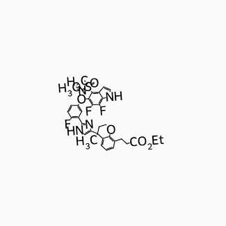 CCOC(=O)CCc1cccc2c1OCCC2(C)c1c[nH]c(-c2cc(Oc3c(F)c(F)c4[nH]ccc4c3S(C)(=O)=NC)ccc2F)n1